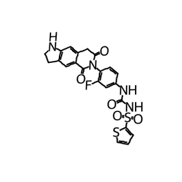 O=C(Nc1ccc(N2C(=O)Cc3cc4c(cc3C2=O)CCN4)c(F)c1)NS(=O)(=O)c1cccs1